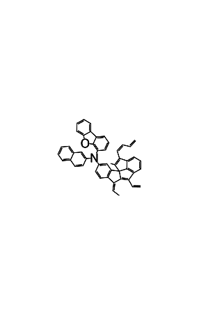 C=C/C=C\C1=C(C)C23C(=C(C=C)c4cccc1c42)/C(=C\C)c1ccc(N(c2ccc4ccccc4c2)c2cccc4c2oc2ccccc24)cc13